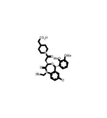 COc1cccc([C@H]2O[C@H](CC(=O)N3CCC(CC(=O)O)CC3)C(=O)N(CC(C)(C)C)c3ccc(Cl)cc32)c1OC